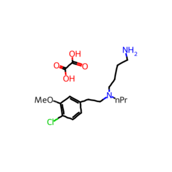 CCCN(CCCCN)CCc1ccc(Cl)c(OC)c1.O=C(O)C(=O)O